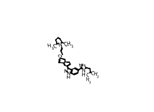 CC(C)Cc1nnc(-c2ccc3[nH]nc(-c4ccc5cc(OCCCN6C(C)CCCC6C)ccc5c4)c3c2)[nH]1